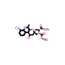 COC(=O)[C@@H]1C[C@]2(CC(=O)c3c(c(C)nc4c(C(F)(F)F)cccc34)O2)CN1C(=O)OC(C)(C)C